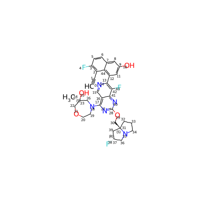 C#Cc1c(F)ccc2cc(O)cc(-c3ncc4c(N5CCOC[C@@](C)(O)C5)nc(OC[C@@]56CCCN5C[C@H](F)C6)nc4c3F)c12